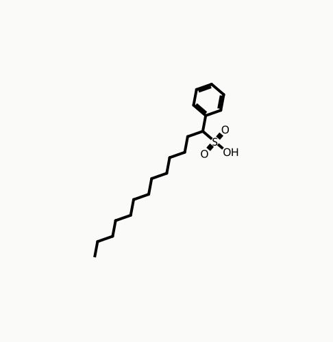 CCCCCCCCCCCCC(c1ccccc1)S(=O)(=O)O